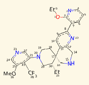 CCOc1ncccc1-c1ccc2c(n1)CNC[C@]21CCN(c2cncc(OC)c2C(F)(F)F)C[C@H]1CC